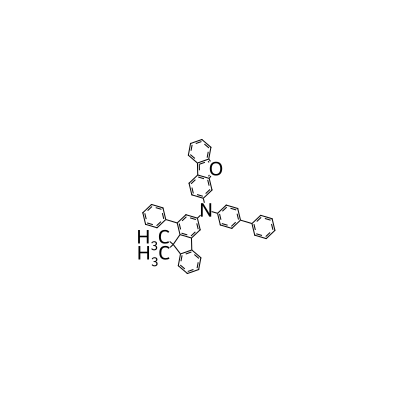 CC1(C)c2ccccc2-c2cc(N(c3ccc(-c4ccccc4)cc3)c3ccc4c(c3)oc3ccccc34)cc(-c3ccccc3)c21